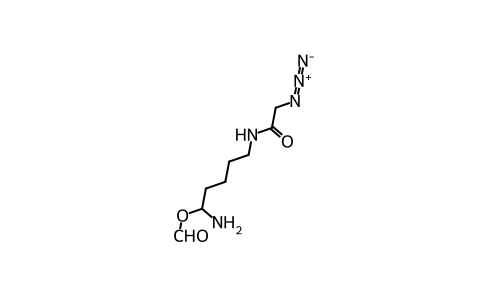 [N-]=[N+]=NCC(=O)NCCCCC(N)OC=O